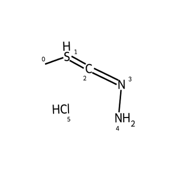 C[SH]=C=NN.Cl